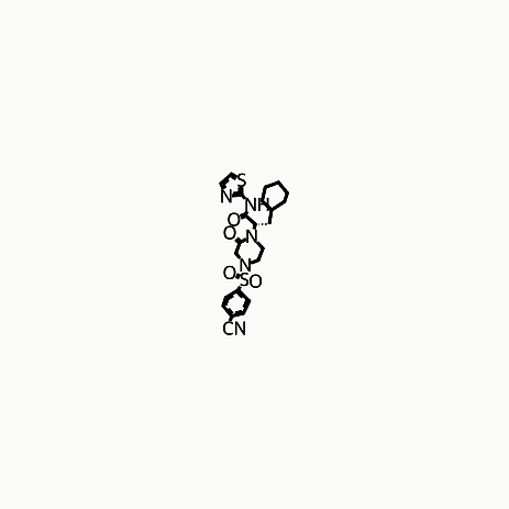 N#Cc1ccc(S(=O)(=O)N2CCN([C@@H](CC3CCCCC3)C(=O)Nc3nccs3)C(=O)C2)cc1